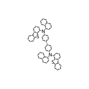 c1ccc2c(N(c3ccc(-c4ccc(N(c5cccc6ccccc56)c5cccc6c5sc5ccccc56)cc4)cc3)c3cccc4c3sc3ccccc34)cccc2c1